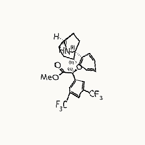 COC(=O)[C@@H](O[C@@H]1CC[C@H]2CC[C@]1(c1ccccc1)N2)c1cc(C(F)(F)F)cc(C(F)(F)F)c1